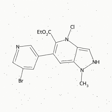 CCOC(=O)C1=C(c2cncc(Br)c2)C=C2C(=CNN2C)N1Cl